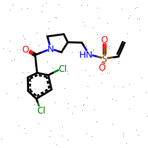 C=CS(=O)(=O)NCC1CCN(C(=O)c2ccc(Cl)cc2Cl)C1